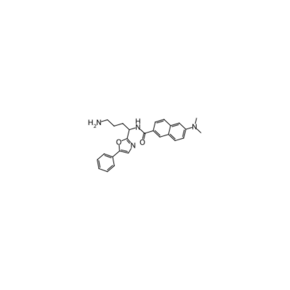 CN(C)c1ccc2cc(C(=O)NC(CCCN)c3ncc(-c4ccccc4)o3)ccc2c1